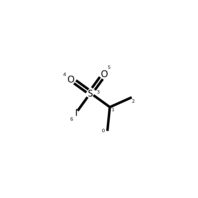 CC(C)S(=O)(=O)I